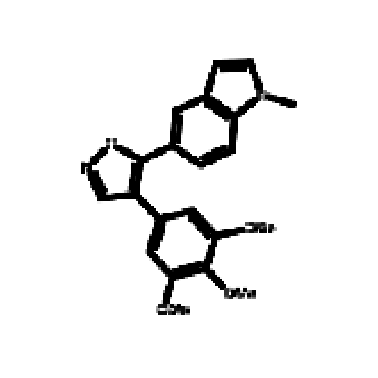 COc1cc(-c2cnoc2-c2ccc3c(ccn3C)c2)cc(OC)c1OC